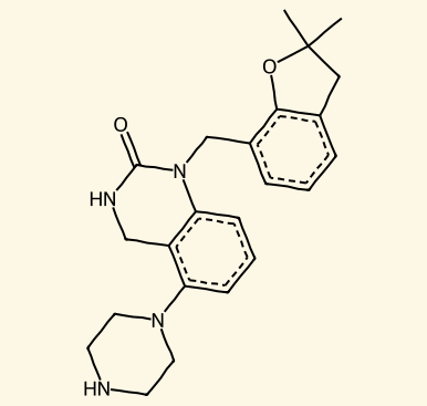 CC1(C)Cc2cccc(CN3C(=O)NCc4c(N5CCNCC5)cccc43)c2O1